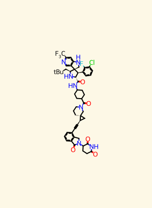 CC(C)(C)C[C@@H]1N[C@@H](C(=O)NC2CCC(C(=O)N3CCC[C@@]4(C[C@H]4C#Cc4cccc5c4CN(C4CCC(=O)NC4=O)C5=O)C3)CC2)[C@H](c2cccc(Cl)c2F)[C@]12CNc1cc(C(F)(F)F)ncc12